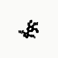 Cc1noc(C)c1-c1cc(C=O)c(O)c(N=O)c1